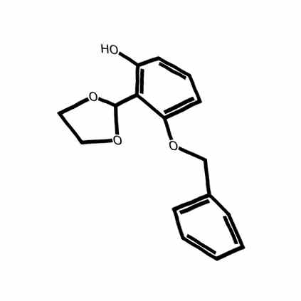 Oc1cccc(OCc2ccccc2)c1C1OCCO1